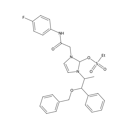 CCS(=O)(=O)OC1N(CC(=O)Nc2ccc(F)cc2)C=CN1C(C)C(OCc1ccccc1)c1ccccc1